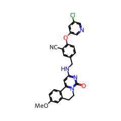 COc1ccc2c(c1)CCn1c-2cc(NCc2ccc(Oc3cncc(Cl)c3)c(C#N)c2)nc1=O